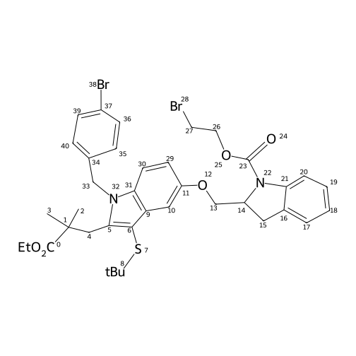 CCOC(=O)C(C)(C)Cc1c(SC(C)(C)C)c2cc(OCC3Cc4ccccc4N3C(=O)OCCBr)ccc2n1Cc1ccc(Br)cc1